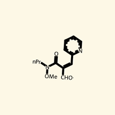 CCCN(OC)C(=O)C([C]=O)=Cc1ccccn1